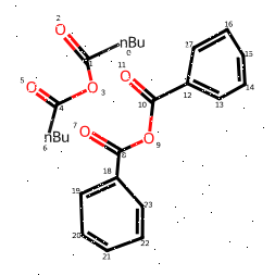 CCCCC(=O)OC(=O)CCCC.O=C(OC(=O)c1ccccc1)c1ccccc1